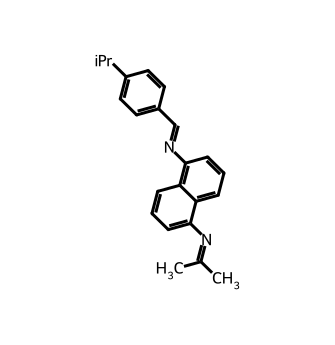 CC(C)=Nc1cccc2c(/N=C/c3ccc(C(C)C)cc3)cccc12